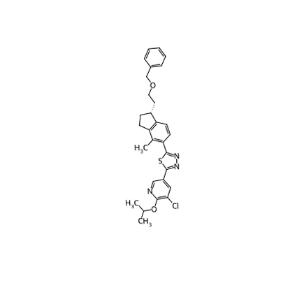 Cc1c(-c2nnc(-c3cnc(OC(C)C)c(Cl)c3)s2)ccc2c1CC[C@@H]2CCOCc1ccccc1